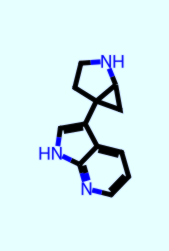 c1cnc2[nH]cc(C34CCNC3C4)c2c1